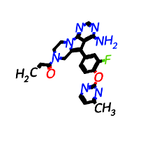 C=CC(=O)N1CCn2c(c(-c3ccc(Oc4nccc(C)n4)c(F)c3)c3c(N)ncnc32)C1